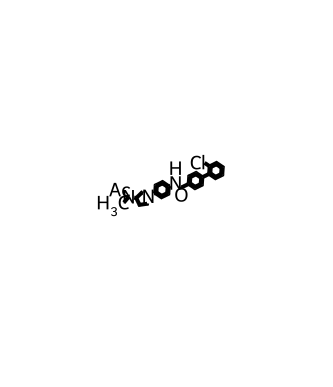 CC(=O)N(C)C1CCN(c2ccc(NC(=O)c3ccc(-c4ccccc4Cl)cc3)cc2)C1